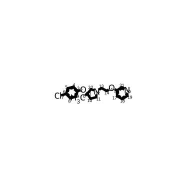 CC1(Oc2ccc(Cl)cc2)CCN(CCOc2cccnc2)C1